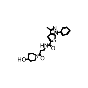 Cc1nn(-c2ccccc2)c2sc(C(=O)NCCC(=O)N3CCC(O)CC3)cc12